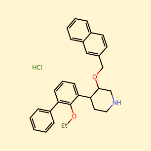 CCOc1c(-c2ccccc2)cccc1C1CCNCC1OCc1ccc2ccccc2c1.Cl